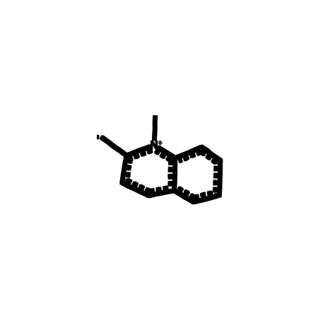 [CH]c1ccc2ccccc2[n+]1C